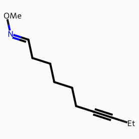 [CH2]CC#CCCCCCC=NOC